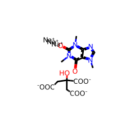 Cn1c(=O)c2c(ncn2C)n(C)c1=O.O=C([O-])CC(O)(CC(=O)[O-])C(=O)[O-].[Na+].[Na+].[Na+]